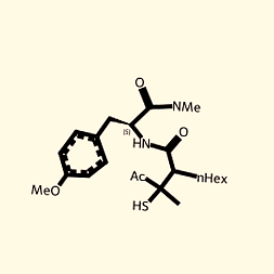 CCCCCCC(C(=O)N[C@@H](Cc1ccc(OC)cc1)C(=O)NC)C(C)(S)C(C)=O